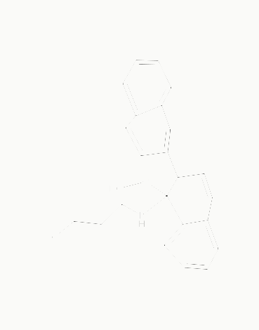 CCCCPC1(OC)c2ccccc2C=CC1c1ccc2ccccc2c1